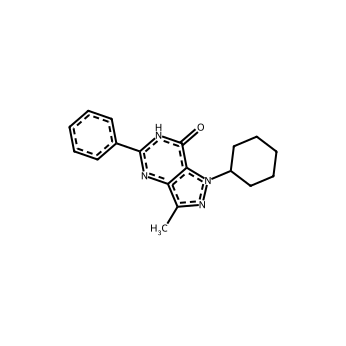 Cc1nn(C2CCCCC2)c2c(=O)[nH]c(-c3ccccc3)nc12